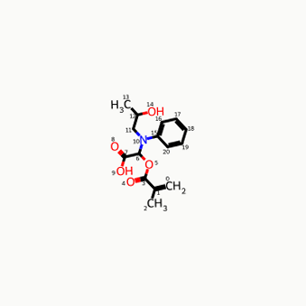 C=C(C)C(=O)OC(C(=O)O)N(CC(C)O)c1ccccc1